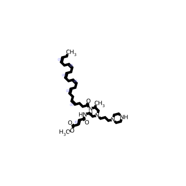 CC/C=C\C/C=C\C/C=C\C/C=C\C/C=C\C/C=C\CCC(=O)NC(C)CN(CCCN1CCNCC1)CCNC(=O)/C=C/C(=O)OC